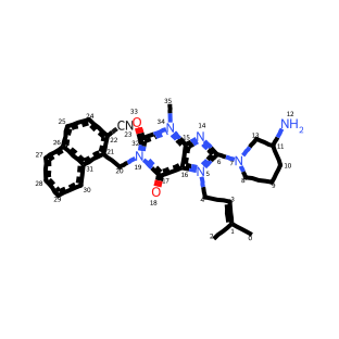 CC(C)=CCn1c(N2CCCC(N)C2)nc2c1c(=O)n(Cc1c(C#N)ccc3ccccc13)c(=O)n2C